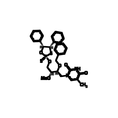 CO[C@H](COP1(=S)O[C@H](c2ccccc2)[C@H](c2ccccc2)S1)[C@H](Cn1cc(C)c(=O)[nH]c1=O)OCc1ccccc1